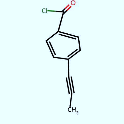 CC#Cc1ccc(C(=O)Cl)cc1